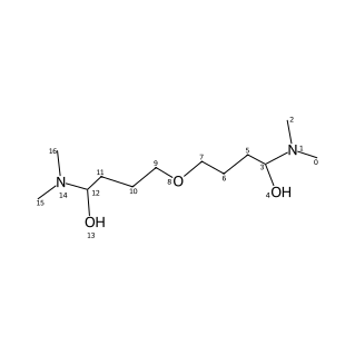 CN(C)C(O)CCCOCCCC(O)N(C)C